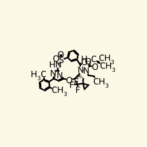 CCCN(C(=O)OC(C)(C)C)N1C(=O)c2cccc(c2)S(=O)(=O)Nc2nc(cc(-c3c(C)cccc3C)n2)OC[C@H]1CC1(C(F)(F)F)CC1